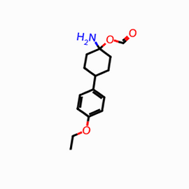 CCOc1ccc(C2CCC(N)(OC=O)CC2)cc1